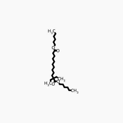 CCCCCCOC(=O)CCCCCCCCCC(CC)(CC)C(=O)OCCCCCC